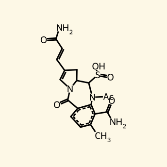 CC(=O)N1c2c(ccc(C)c2C(N)=O)C(=O)N2C=C(C=CC(N)=O)CC2C1S(=O)O